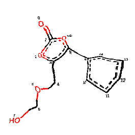 O=c1oc(COCO)c(-c2ccccc2)o1